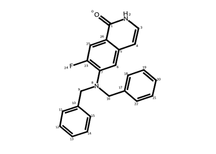 O=c1[nH]ccc2cc(N(Cc3ccccc3)Cc3ccccc3)c(F)cc12